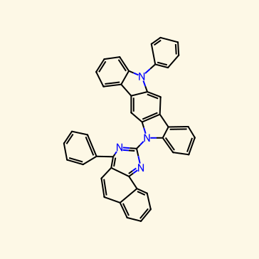 c1ccc(-c2nc(-n3c4ccccc4c4cc5c(cc43)c3ccccc3n5-c3ccccc3)nc3c2ccc2ccccc23)cc1